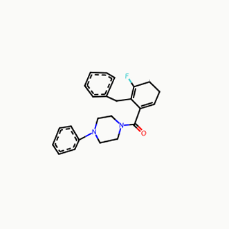 O=C(C1=CC[CH]C(F)=C1Cc1ccccc1)N1CCN(c2ccccc2)CC1